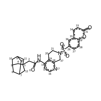 O=C(CC12CC3CC(CC(C3)C1)C2)Nc1ncnc2c1CCN(S(=O)(=O)c1ccc3oc(=O)ccc3c1)C2